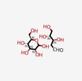 O=CC[C@H](O)[C@H](O)CO.OC[C@H]1OC(O)[C@@H](O)[C@@H](O)[C@@H]1O